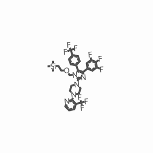 C[Si](C)(C)CCOCn1c(N2CCN(c3ncccc3C(F)(F)F)CC2)nc(-c2cc(F)c(F)c(F)c2)c1-c1ccc(C(F)(F)F)cc1